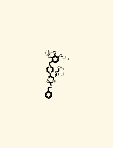 CCSC[C@H](NC(=O)OCc1ccccc1)C(=S)N1CCN(Cc2ccc(OC)c(OC)c2OC)CC1.Cl